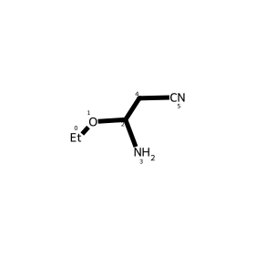 CCOC(N)CC#N